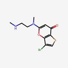 CNCCN(C)c1cc(=O)c2scc(Br)c2o1